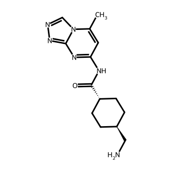 Cc1cc(NC(=O)[C@H]2CC[C@H](CN)CC2)nc2nncn12